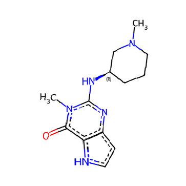 CN1CCC[C@@H](Nc2nc3cc[nH]c3c(=O)n2C)C1